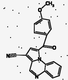 COc1ccc(C(=O)c2cc(C#N)c3cnc4ccccc4n23)cc1